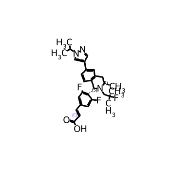 CC(C)n1cc(-c2ccc3c(c2)C[C@@H](C)N(CC(C)(C)F)[C@@H]3c2c(F)cc(/C=C/C(=O)O)cc2F)cn1